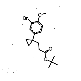 COc1ccc(C2(CCC(=O)OC(C)(C)C)CC2)cc1Br